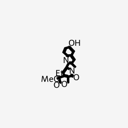 CCC1(OC)C(=O)OCc2c1cc1n(c2=O)Cc2cc3cc(O)ccc3nc2-1